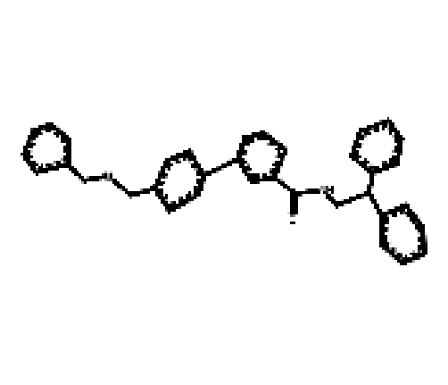 O=C(NCC(c1ccccc1)c1ccccc1)c1cccc(-c2ccc(C[N]Cc3ccccc3)cc2)c1